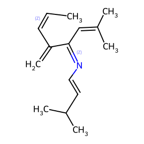 C=C(/C=C\C)/C(C=C(C)C)=N\C=CC(C)C